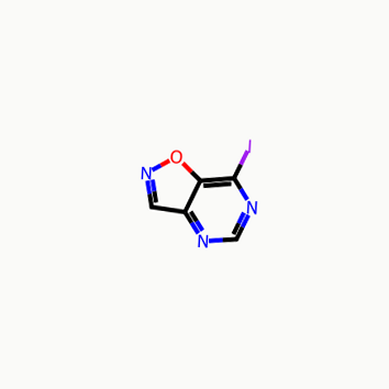 Ic1ncnc2cnoc12